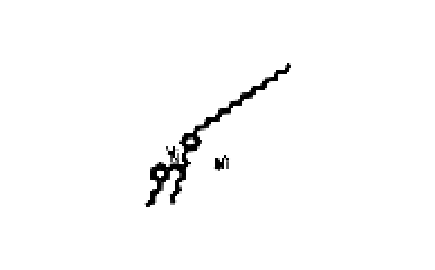 CCCCCCCCCCCCCCCCCc1ccc(C2=CC(CCCCC)=C(c3cccc(CCCC)c3)[N+]2=[N-])cc1.[CH3][Ni][CH3]